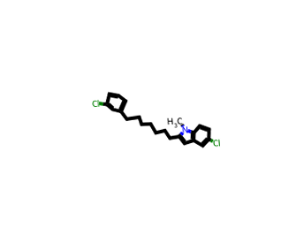 Cn1c(CCCCCCCc2cccc(Cl)c2)cc2cc(Cl)ccc21